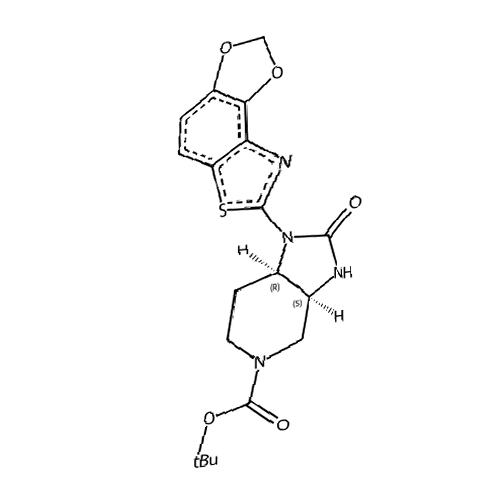 CC(C)(C)OC(=O)N1CC[C@@H]2[C@H](C1)NC(=O)N2c1nc2c3c(ccc2s1)OCO3